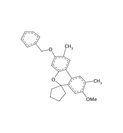 COc1cc2c(cc1C)-c1cc(C)c(OCc3ccccc3)cc1OC21CCCC1